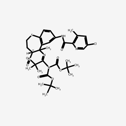 Cc1cc(Cl)cnc1C(=O)Nc1ccc2c(c1)C1(C)N=C(N(C(=O)OC(C)(C)C)C(=O)OC(C)(C)C)C(C)(C)S(=O)(=O)[C@@H]1CCS2